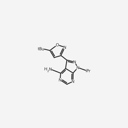 CC(C)n1nc(-c2cc(C(C)(C)C)on2)c2c(N)ncnc21